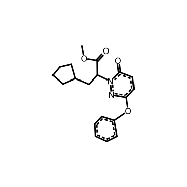 COC(=O)C(CC1CCCC1)n1nc(Oc2ccccc2)ccc1=O